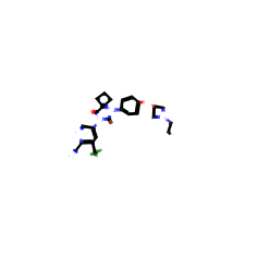 CCCN1CC(Oc2ccc(N3C(=S)N(c4cnc(C#N)c(C(F)(F)F)c4)C(=O)C34CCC4)cc2)C1